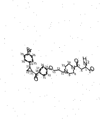 NC(C=O)CC(=O)N1CCN(CCCOc2ccc(C(=O)C3CC3c3ccc(Br)cc3)cc2)CC1